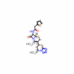 O=C(Cc1cccs1)NC1C(=O)N2C(C(=O)O)=C(C(CCS(=O)(=O)O)Sc3nnn[nH]3)CS[C@@H]12